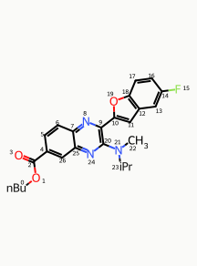 CCCCOC(=O)c1ccc2nc(-c3cc4cc(F)ccc4o3)c(N(C)C(C)C)nc2c1